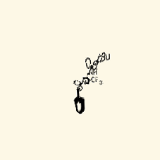 CC(C)(C)OC(=O)NC[C@@H]1CN(C(=O)OCc2ccccc2)C[C@H]1C(F)(F)F